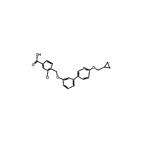 O=C(O)c1ccc(COc2cccc(-c3ccc(OCC4CC4)nc3)c2)c(Cl)c1